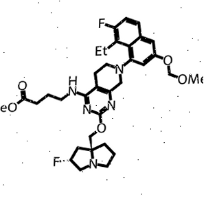 CCc1c(F)ccc2cc(OCOC)cc(N3CCc4c(nc(OC[C@@]56CCCN5C[C@H](F)C6)nc4NCCCC(=O)OC)C3)c12